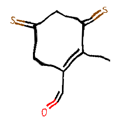 CC1=C(C=O)CC(=S)CC1=S